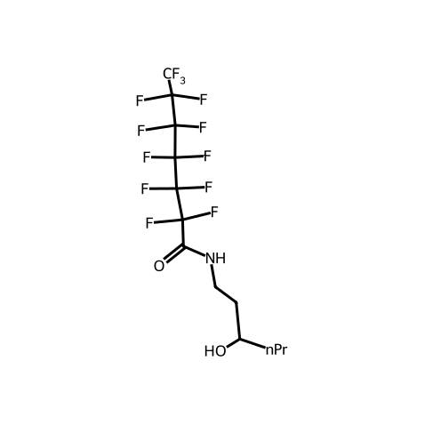 CCCC(O)CCNC(=O)C(F)(F)C(F)(F)C(F)(F)C(F)(F)C(F)(F)C(F)(F)F